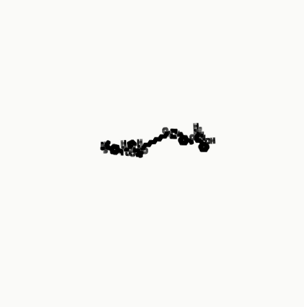 Cc1ncsc1-c1ccc([C@H](C)NC(=O)[C@@H]2CCCN2C(=O)[C@@H](NC(=O)CCCCCCCCC(=O)N2CCN(Cc3cccc(C(C)Oc4cc(-c5ccccc5O)nnc4N)c3)CC2)C(C)(C)C)cc1